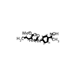 C=CCC(NC(=O)Nc1ccc(C(C)=NO)cc1)C(=O)OC